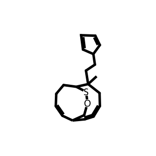 CC1(CCC2C=CC=C2)CC=C=CC2/C=C\CCC1SOC2